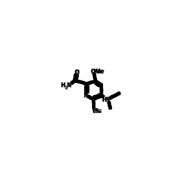 COc1cc([SH](C)C)c(C(C)(C)C)nc1C(N)=O